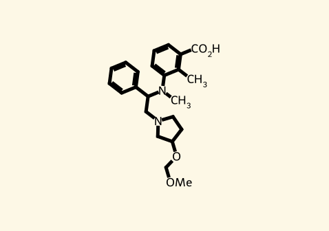 COCOC1CCN(CC(c2ccccc2)N(C)c2cccc(C(=O)O)c2C)C1